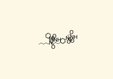 CCCCCNC(=O)C(Cc1ccc(N2CC(=O)NS2(=O)=O)cc1)NS(=O)(=O)c1ccccc1